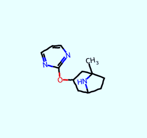 CC12CCC(CC(Oc3ncccn3)C1)N2